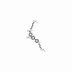 CCCCCCCOC(=O)C1CCC(O)(c2ccc(-c3ccc(OCCCCC)cc3)cc2)CC1